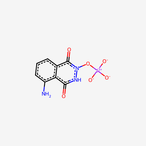 Nc1cccc2c(=O)n(O[I+3]([O-])([O-])[O-])[nH]c(=O)c12